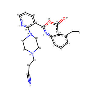 CCc1cccc2nc(-c3cccnc3N3CCN(CCC#N)CC3)oc(=O)c12